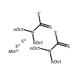 CCCCCCCCN(CCCCCCCC)C(=S)[S-].CCCCCCCCN(CCCCCCCC)C(=S)[S-].[Mo+6].[S-2].[S-2]